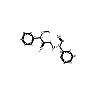 CO[C@@H](C(=O)CO[C@H](C=O)c1ccccc1)c1ccccc1